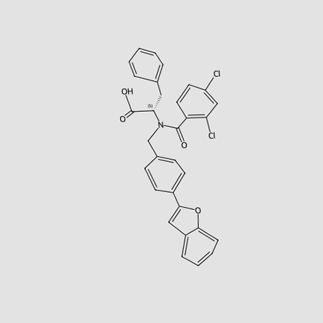 O=C(O)[C@H](Cc1ccccc1)N(Cc1ccc(-c2cc3ccccc3o2)cc1)C(=O)c1ccc(Cl)cc1Cl